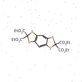 CCOC(=O)C1(C(=O)OCC)Sc2cc3c(cc2S1)SC(C(=O)OCC)(C(=O)OCC)S3